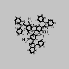 Cc1cc(N(c2cc(C)c(-c3nc4cccnc4n3-c3ccccc3)cc2C)c2cc(C)c(-c3nc4cccnc4n3-c3ccccc3)cc2C)c(C)cc1C1=NC2C=CC=NC2N1c1ccccc1